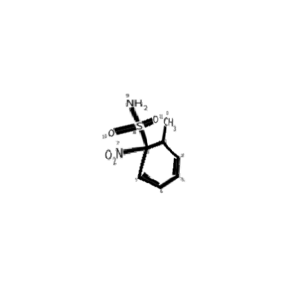 CC1C=CC=CC1([N+](=O)[O-])S(N)(=O)=O